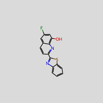 Oc1cc(F)cc2ccc(-c3nc4ccccc4s3)nc12